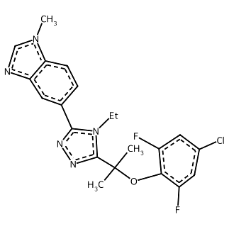 CCn1c(-c2ccc3c(c2)ncn3C)nnc1C(C)(C)Oc1c(F)cc(Cl)cc1F